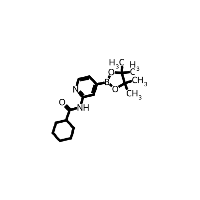 CC1(C)OB(c2ccnc(NC(=O)C3CCCCC3)c2)OC1(C)C